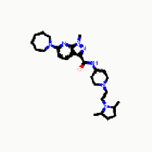 CC1CCC(C)N1CCN1CCC(NC(=O)c2nn(C)c3nc(N4CCCCCC4)ccc23)CC1